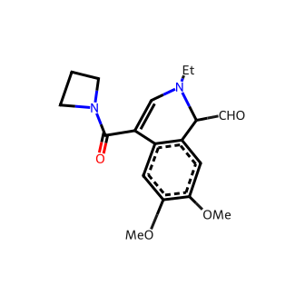 CCN1C=C(C(=O)N2CCC2)c2cc(OC)c(OC)cc2C1C=O